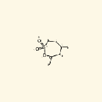 CC1CCS(=O)(=O)OC(C)C1